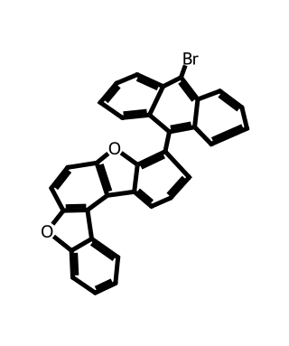 Brc1c2ccccc2c(-c2cccc3c2oc2ccc4oc5ccccc5c4c23)c2ccccc12